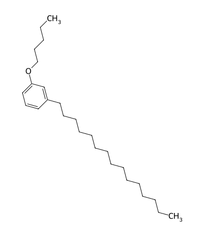 CCCCCCCCCCCCCCCc1cccc(OCCCCC)c1